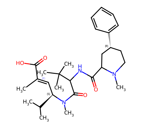 C/C(=C\[C@H](C(C)C)N(C)C(=O)C(NC(=O)C1C[C@H](c2ccccc2)CCN1C)C(C)(C)C)C(=O)O